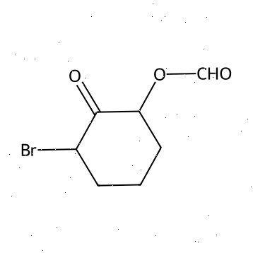 O=COC1CCCC(Br)C1=O